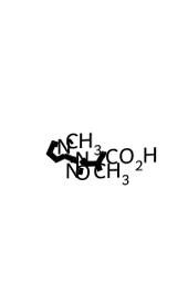 CC(CC(=O)O)c1nc(C2CCCN2C)no1